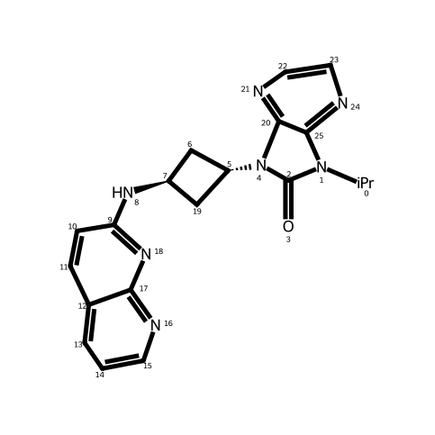 CC(C)n1c(=O)n([C@H]2C[C@H](Nc3ccc4cccnc4n3)C2)c2nccnc21